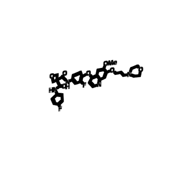 COc1cc2c(Oc3ccc(NC(=O)C4(C(=O)Nc5ccc(F)cc5)COC4)cc3F)ccnc2cc1OCCCN1CCOCC1